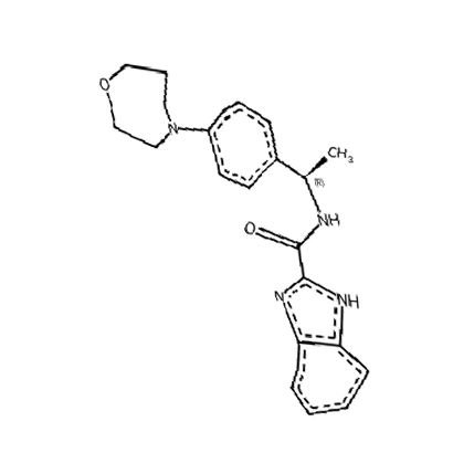 C[C@@H](NC(=O)c1nc2ccccc2[nH]1)c1ccc(N2CCOCC2)cc1